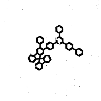 c1ccc(-c2ccc(-c3cc(-c4ccccc4)nc(-c4ccc(-c5cc6c(cc5-c5ccccc5)-c5ccccc5C65c6ccccc6-c6ccccc65)cc4)n3)cc2)cc1